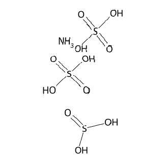 N.O=S(=O)(O)O.O=S(=O)(O)O.O=S(O)O